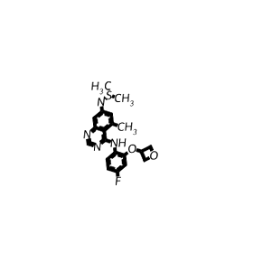 Cc1cc(N=S(C)C)cc2ncnc(Nc3ccc(F)cc3OC3COC3)c12